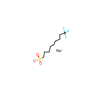 O=S(=O)([O-])CCCCCCCCC(F)(F)F.[Na+]